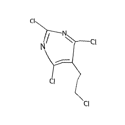 ClCCc1c(Cl)nc(Cl)nc1Cl